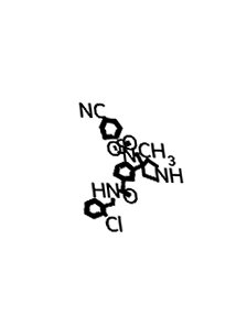 CC1N(S(=O)(=O)c2ccc(C#N)cc2)c2ccc(C(=O)NCc3ccccc3Cl)cc2C12CCNCC2